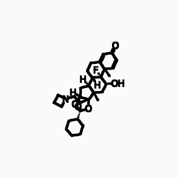 C[C@]12C=CC(=O)C=C1CC[C@H]1[C@@H]3C[C@H]4O[C@@H](C5CCCCC5)O[C@@]4(C(=O)CN4CCC4)[C@@]3(C)C[C@H](O)[C@@]12F